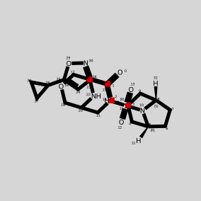 O=C(N[C@H]1C[C@H]2CC[C@@H](C1)N2S(=O)(=O)N1CC2COCC(C1)N2)c1cc(C2CC2)on1